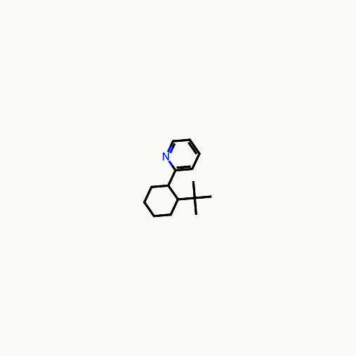 CC(C)(C)C1CCCCC1c1ccccn1